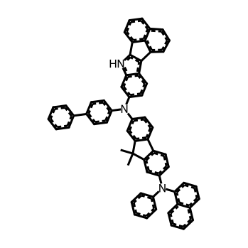 CC1(C)c2cc(N(c3ccc(-c4ccccc4)cc3)c3ccc4c5c([nH]c4c3)-c3cccc4cccc-5c34)ccc2-c2ccc(N(c3ccccc3)c3cccc4ccccc34)cc21